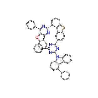 c1ccc(-c2nc(-c3ccc4sc5cccc(-c6nc(-c7ccccc7)c7oc8ccccc8c7n6)c5c4c3)nc(-n3c4ccccc4c4c(-c5ccccc5)cccc43)n2)cc1